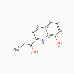 CCCCCCCCCCC(O)c1ccc2cccc(O)c2n1